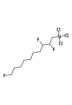 FCCCCCCCC(F)C(F)C[Si](Cl)(Cl)Cl